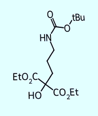 CCOC(=O)C(O)(CCCNC(=O)OC(C)(C)C)C(=O)OCC